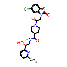 Cc1cccc(C(O)CNC(=O)C2CCN(C(=O)Cn3c(=O)sc4ccc(Cl)cc43)CC2)n1